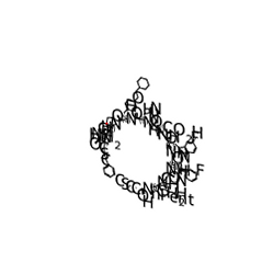 C=C1NCC(=O)N[C@@H](Cc2c[nH]c3ccc(F)cc23)C(=O)N[C@@H](Cc2c[nH]c3ccc(F)cc23)C(=O)N[C@@H](CC(=O)O)C(=O)N[C@@H](Cc2cnc[nH]2)C(=O)N[C@@H](Cc2ccc(OCC3CCCCC3)cc2)C(=O)N2CCC[C@H]2C(=O)N[C@H](C(N)=O)CSCc2cccc(c2)CSCCC(=O)N[C@H]1CCCCC